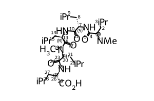 CN[C@H](CC(C)C)C(=O)N[C@@H](CC(C)C)C(=O)N[C@H](CC(C)C)C(=O)N(C)[C@H](CC(C)C)C(=O)N[C@@H](CC(C)C)C(=O)O